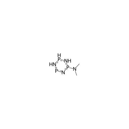 CN(C)p1np[nH][pH][nH]1